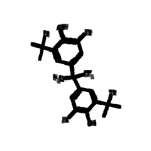 CCc1cc(C(c2cc(CC)c(O)c(C(C)(C)CC)c2)(C(F)(F)F)C(F)(F)F)cc(C(C)(C)CC)c1O